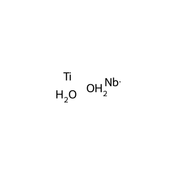 O.O.[Nb].[Ti]